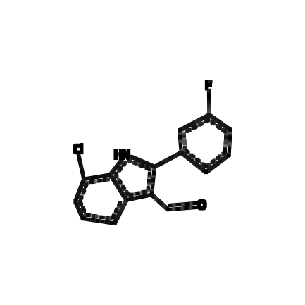 O=Cc1c(-c2cccc(F)c2)[nH]c2c(Cl)cccc12